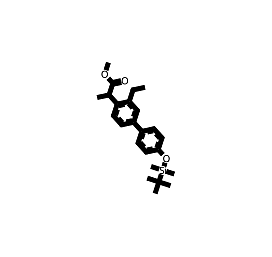 CCc1cc(-c2ccc(O[Si](C)(C)C(C)(C)C)cc2)ccc1C(C)C(=O)OC